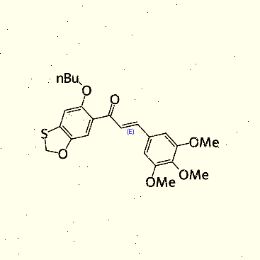 CCCCOc1cc2c(cc1C(=O)/C=C/c1cc(OC)c(OC)c(OC)c1)OCS2